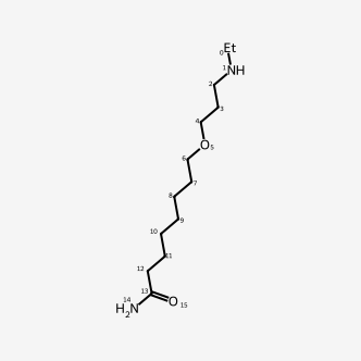 CCNCCCOCCCCCCCC(N)=O